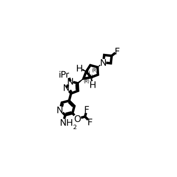 CC(C)n1nc(-c2cnc(N)c(OC(F)F)c2)cc1[C@H]1[C@@H]2C[C@H](N3CC(F)C3)C[C@@H]21